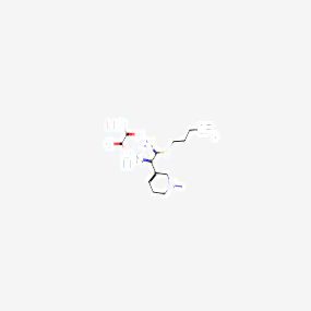 CN1CCC=C(c2nsnc2SCCCC(F)(F)F)C1.O=C(O)C(=O)O